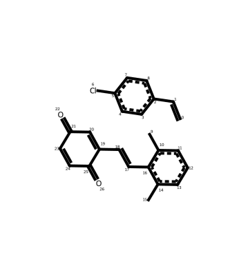 C=Cc1ccc(Cl)cc1.Cc1cccc(C)c1C=CC1=CC(=O)C=CC1=O